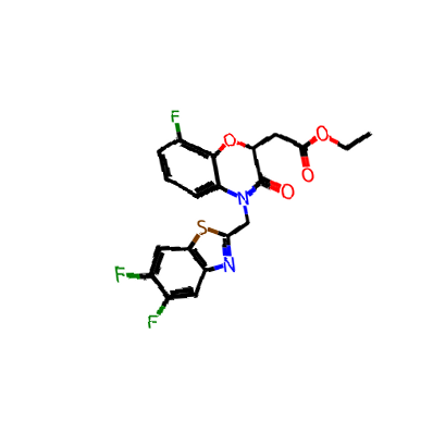 CCOC(=O)CC1Oc2c(F)cccc2N(Cc2nc3cc(F)c(F)cc3s2)C1=O